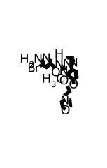 COc1c(OCCCN2CCOCC2)ccc2c1N=C(NC(=O)c1cnc(N)c(Br)c1)N1CCN=C21